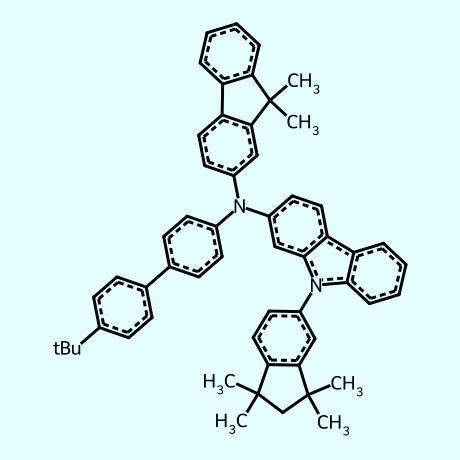 CC(C)(C)c1ccc(-c2ccc(N(c3ccc4c(c3)C(C)(C)c3ccccc3-4)c3ccc4c5ccccc5n(-c5ccc6c(c5)C(C)(C)CC6(C)C)c4c3)cc2)cc1